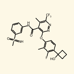 Cc1c(Oc2nnc(C(F)(F)F)c(C)c2C(=O)Nc2cccc(S(C)(=N)=O)c2)ccc(C2(O)CCC2)c1F